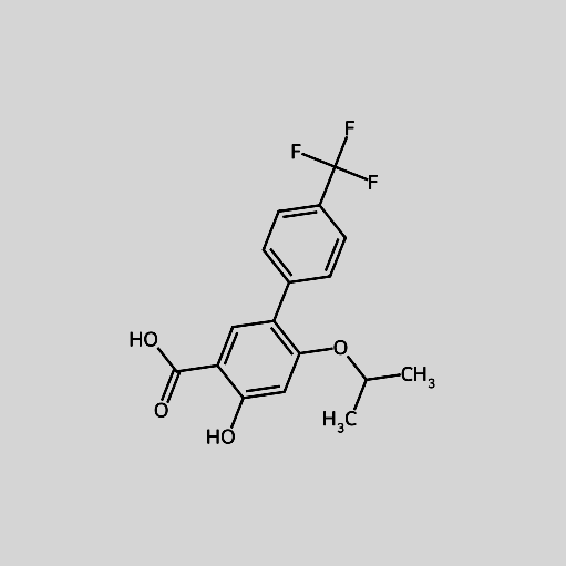 CC(C)Oc1cc(O)c(C(=O)O)cc1-c1ccc(C(F)(F)F)cc1